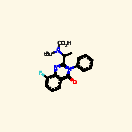 CC(c1nc2c(F)cccc2c(=O)n1-c1ccccc1)N(C(=O)O)C(C)(C)C